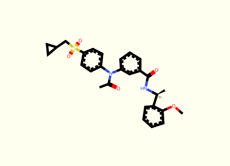 COc1ccccc1[C@H](C)NC(=O)c1cccc(N(C(C)=O)c2ccc(S(=O)(=O)CC3CC3)cc2)c1